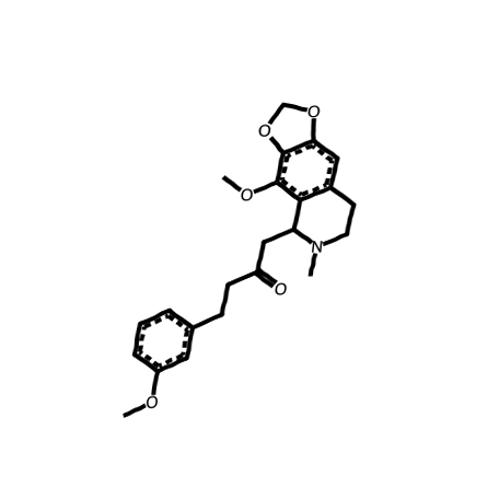 COc1cccc(CCC(=O)CC2c3c(cc4c(c3OC)OCO4)CCN2C)c1